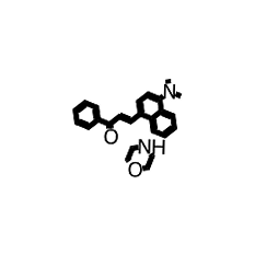 C1COCCN1.CN(C)c1ccc(C=CC(=O)c2ccccc2)c2ccccc12